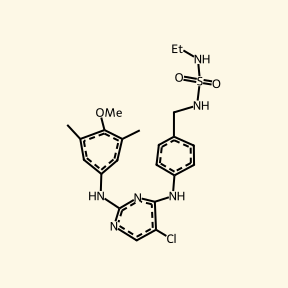 CCNS(=O)(=O)NCc1ccc(Nc2nc(Nc3cc(C)c(OC)c(C)c3)ncc2Cl)cc1